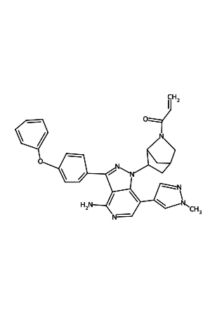 C=CC(=O)N1CC2CC1C(n1nc(-c3ccc(Oc4ccccc4)cc3)c3c(N)ncc(-c4cnn(C)c4)c31)C2